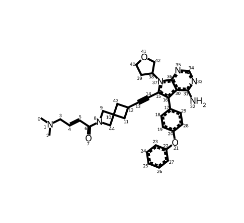 CN(C)C/C=C/C(=O)N1CC2(CC(C#Cc3c(-c4ccc(Oc5ccccc5)cc4)c4c(N)ncnc4n3C3CCOC3)C2)C1